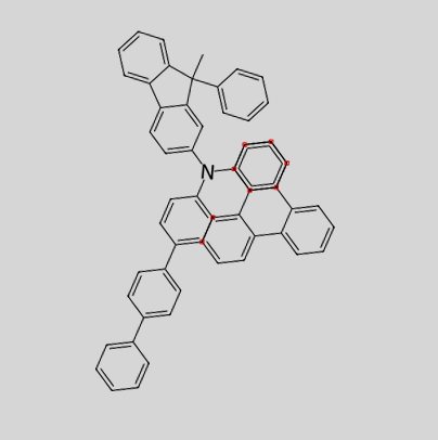 CC1(c2ccccc2)c2ccccc2-c2ccc(N(c3ccc(-c4ccc(-c5ccccc5)cc4)cc3)c3ccccc3-c3ccccc3-c3ccccc3-c3ccccc3)cc21